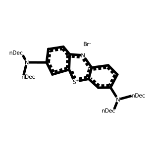 CCCCCCCCCCN(CCCCCCCCCC)c1ccc2nc3ccc(N(CCCCCCCCCC)CCCCCCCCCC)cc3[s+]c2c1.[Br-]